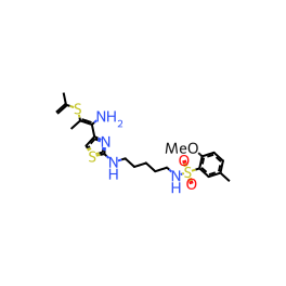 C=C(C)S/C(C)=C(\N)c1csc(NCCCCCNS(=O)(=O)c2cc(C)ccc2OC)n1